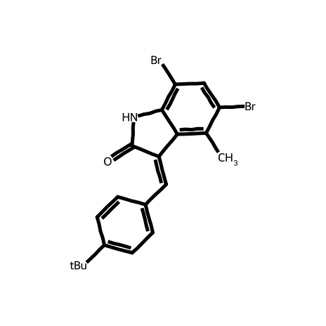 Cc1c(Br)cc(Br)c2c1C(=Cc1ccc(C(C)(C)C)cc1)C(=O)N2